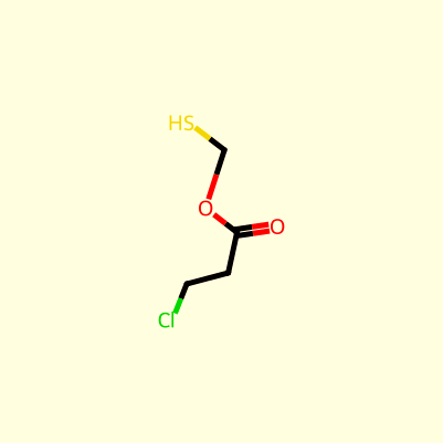 O=C(CCCl)OCS